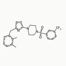 Cc1cccc(Cc2csc(N3CCN(S(=O)(=O)c4cccc(C(F)(F)F)c4)CC3)n2)c1C